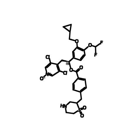 O=C(O[C@@H](Cc1c(Cl)c[n+]([O-])cc1Cl)c1ccc(OC(F)F)c(OCC2CC2)c1)c1ccc(CC2CNCCS2(=O)=O)cc1